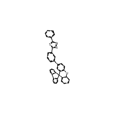 c1ccc(-c2nnc(-c3cccc(-c4ccc5c(c4)C4(c6ccccc6O5)c5ccccc5-c5ccccc54)c3)s2)cc1